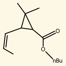 C/C=C\C1C(C(=O)OCCCC)C1(C)C